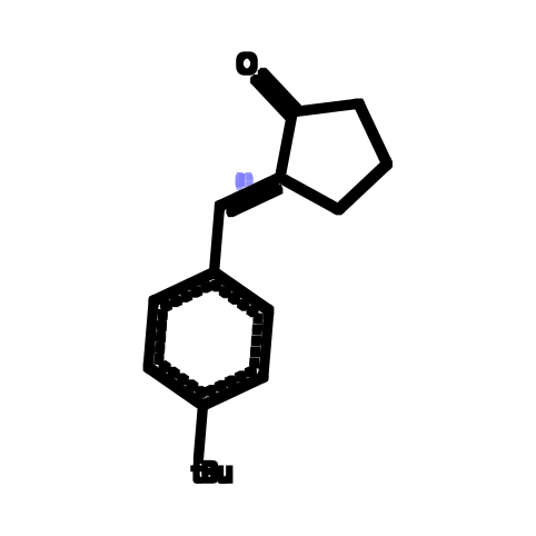 CC(C)(C)c1ccc(/C=C2\CCCC2=O)cc1